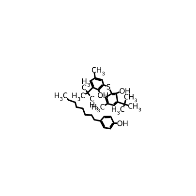 CCCCCCCCc1ccc(O)cc1.Cc1cc(Sc2cc(C)cc(C(C)(C)C)c2O)c(O)c(C(C)(C)C)c1